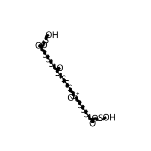 O=C(CCSCSCSCCC[S+]([O-])CCSCSCSCCSC(=O)CCSCSCSCCC(=O)OCSCO)OCSCO